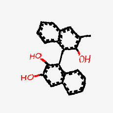 Cc1cc2ccccc2c(-c2c(O)c(O)cc3ccccc23)c1O